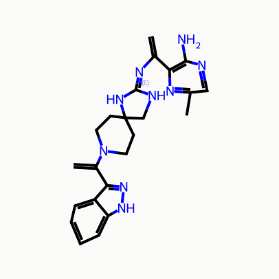 C=C(/N=C1\NCC2(CCN(C(=C)c3n[nH]c4ccccc34)CC2)N1)c1nc(C)cnc1N